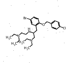 CCN(CC)CCNC(Cc1cc(Br)ccc1OCc1ccc(Cl)cc1)CN(CC)CC